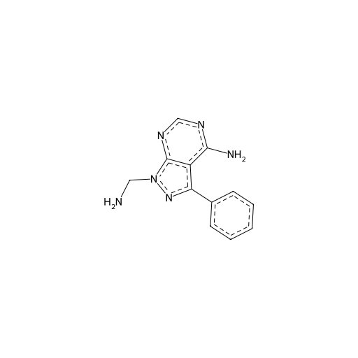 NCn1nc(-c2ccccc2)c2c(N)ncnc21